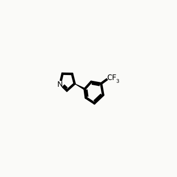 FC(F)(F)c1cccc([C@H]2C=NCC2)c1